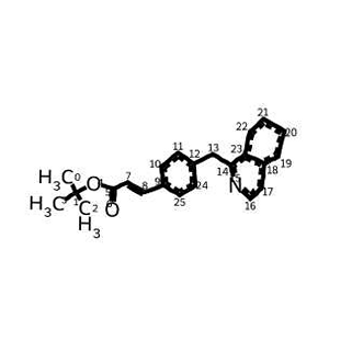 CC(C)(C)OC(=O)/C=C/c1ccc(Cc2nccc3ccccc23)cc1